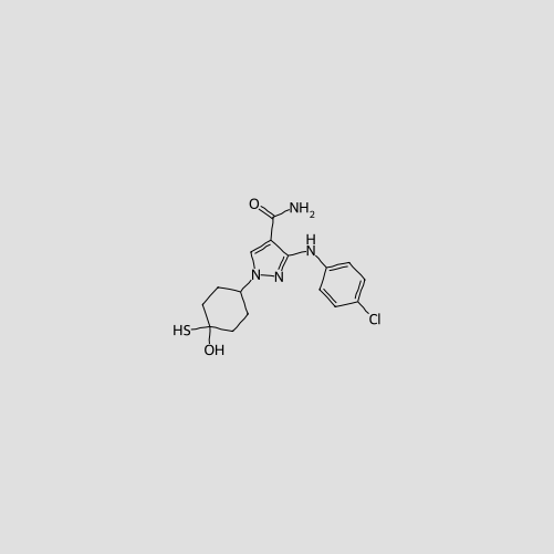 NC(=O)c1cn(C2CCC(O)(S)CC2)nc1Nc1ccc(Cl)cc1